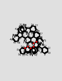 c1ccc(-c2cc(-c3ccccc3)nc(-c3ccccc3-c3c(-n4c5ccccc5c5ncccc54)c(C4c5ccccc5-c5ncccc54)nc(-n4c5ccccc5c5ncccc54)c3-n3c4ccccc4c4ncccc43)n2)cc1